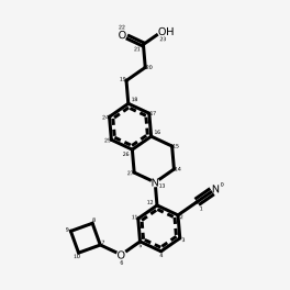 N#Cc1ccc(OC2CCC2)cc1N1CCc2cc(CCC(=O)O)ccc2C1